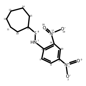 O=[N+]([O-])c1ccc(NSC2CCCCCC2)c([N+](=O)[O-])c1